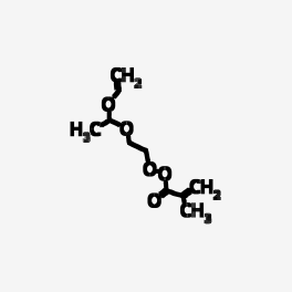 C=COC(C)OCCOOC(=O)C(=C)C